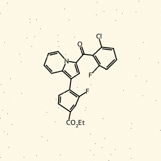 CCOC(=O)c1ccc(-c2cc(C(=O)c3c(F)cccc3Cl)n3ccccc23)c(F)c1